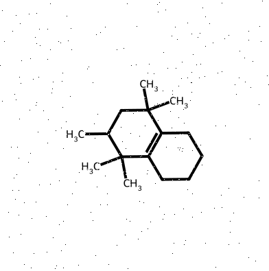 CC1CC(C)(C)C2=C(CCCC2)C1(C)C